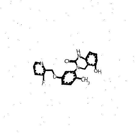 Cc1ccc(OCc2ncccc2F)cc1N1Cc2c(O)cccc2NC1=O